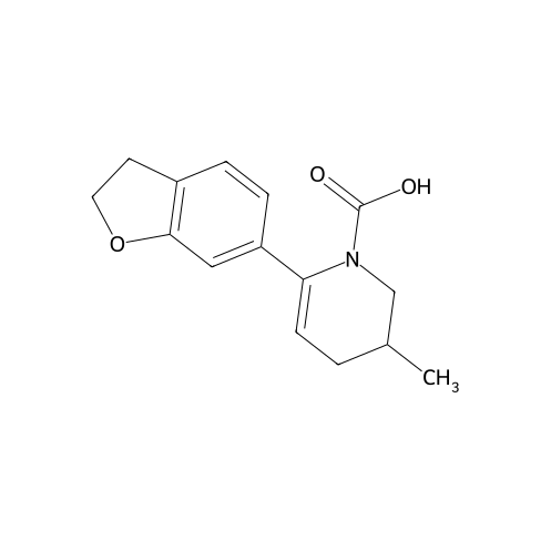 CC1CC=C(c2ccc3c(c2)OCC3)N(C(=O)O)C1